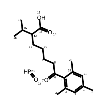 Cc1cc(C)c(C(=O)CCCCC(C(=O)O)C(C)C)c(C)c1.O=P